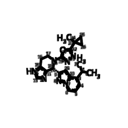 CC(C)c1cccn2nc([C@@H]3c4nc[nH]c4CCN3c3nnc(C4(C)CC4)o3)cc12